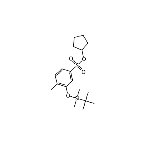 Cc1ccc(S(=O)(=O)OC2CCCC2)cc1O[Si](C)(C)C(C)(C)C